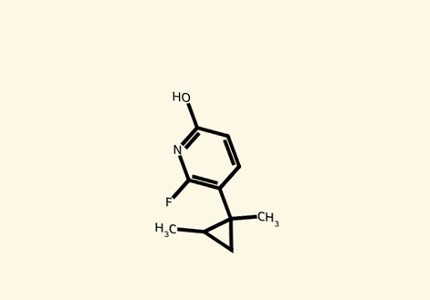 CC1CC1(C)c1ccc(O)nc1F